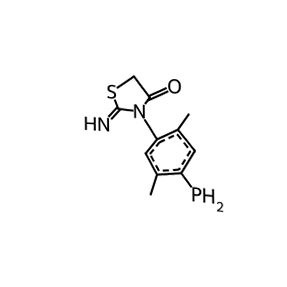 Cc1cc(N2C(=N)SCC2=O)c(C)cc1P